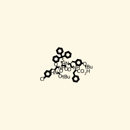 CC(C)(C)OC(=O)N[C@@H](Cc1ccc(Cl)cc1)C(=O)N[C@H](CSC(c1ccccc1)(c1ccccc1)c1ccccc1)C(=O)N[C@@H](Cc1ccc(OC(C)(C)C)cc1)C(=O)N[C@H](Cc1ccccc1)C(=O)O